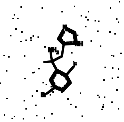 CC(N)(Cc1cnc[nH]1)c1cc(Br)ccc1F